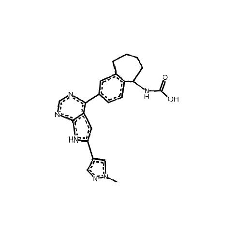 Cn1cc(-c2cc3c(-c4ccc5c(c4)CCCCC5NC(=O)O)ncnc3[nH]2)cn1